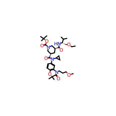 CCOC[C@H](NC(=O)[C@H]1C[C@@H](C(=O)N(c2ccc3c(c2)N(CCCOC)C(=O)C(C)(C)O3)C2CC2)CN(C(=O)OC(C)(C)C)C1)C(C)C